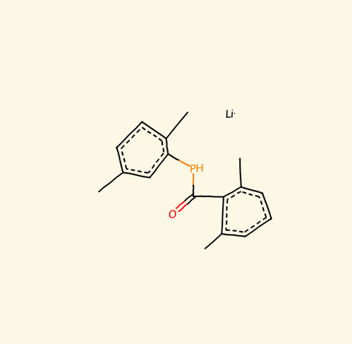 Cc1ccc(C)c(PC(=O)c2c(C)cccc2C)c1.[Li]